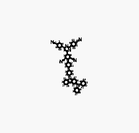 N#Cc1ccc(-c2cc(-c3cc(C#N)c(-c4ccc(-c5ccc(-n6c7ccccc7c7cc(N(c8ccccc8)c8ccccc8)ccc76)cc5)cc4)c(C#N)c3)nc(-c3ccc(C#N)cc3)n2)cc1